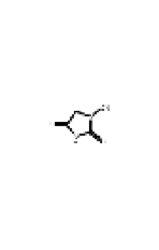 N#CN1CC(=O)NC1=O